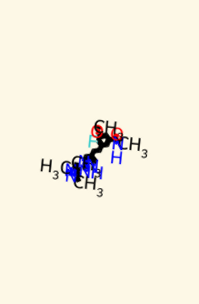 CNC(=O)c1cc(CCc2cnc(Nc3c(C)nn(C)c3C)nc2)c(F)c(OC)c1